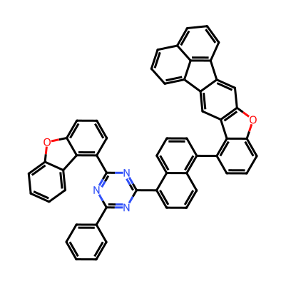 c1ccc(-c2nc(-c3cccc4c(-c5cccc6oc7cc8c(cc7c56)-c5cccc6cccc-8c56)cccc34)nc(-c3cccc4oc5ccccc5c34)n2)cc1